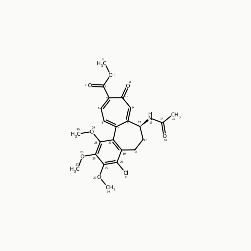 COC(=O)c1ccc2c(cc1=O)[C@@H](NC(C)=O)CCc1c(Cl)c(OC)c(OC)c(OC)c1-2